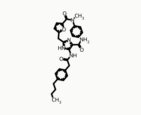 CCCCc1ccc(CC(=O)Nc2[nH]c(Cc3ccc(C(=O)N(C)c4ccccc4)o3)nc2C(N)=O)cc1